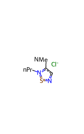 CCC[n+]1sncc1NC.[Cl-]